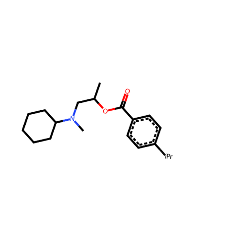 CC(CN(C)C1CCCCC1)OC(=O)c1ccc(C(C)C)cc1